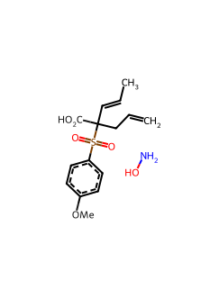 C=CCC(C=CC)(C(=O)O)S(=O)(=O)c1ccc(OC)cc1.NO